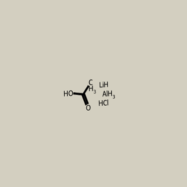 CC(=O)O.Cl.[AlH3].[LiH]